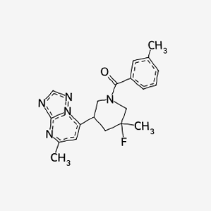 Cc1cccc(C(=O)N2CC(c3cc(C)nc4ncnn34)CC(C)(F)C2)c1